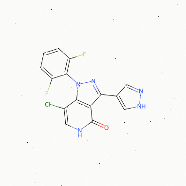 O=c1[nH]cc(Cl)c2c1c(-c1cn[nH]c1)nn2-c1c(F)cccc1F